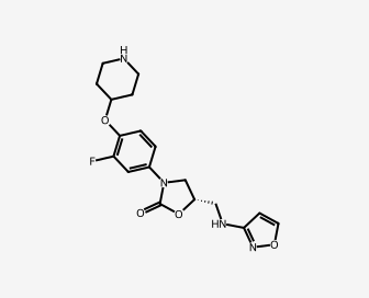 O=C1O[C@@H](CNc2ccon2)CN1c1ccc(OC2CCNCC2)c(F)c1